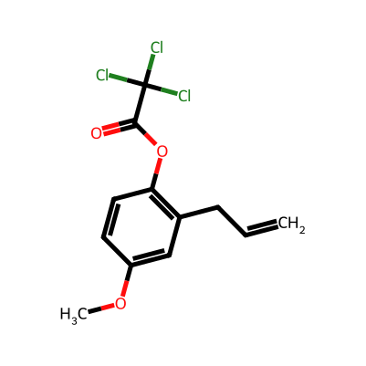 C=CCc1cc(OC)ccc1OC(=O)C(Cl)(Cl)Cl